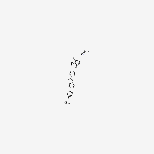 C/C=C/CCc1ccc(OCC2CCC(C3CCC4CC(c5ccc(CCC)cc5)CCC4C3)CC2)c(F)c1F